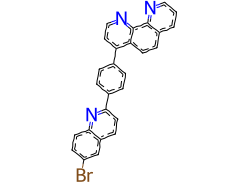 Brc1ccc2nc(-c3ccc(-c4ccnc5c4ccc4cccnc45)cc3)ccc2c1